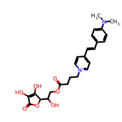 CN(C)c1ccc(/C=C/c2cc[n+](CCCC(=O)OCC(O)C3OC(=O)C(O)=C3O)cc2)cc1